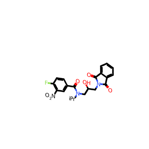 CC(C)N(CC(O)CN1C(=O)c2ccccc2C1=O)C(=O)c1ccc(F)c([N+](=O)[O-])c1